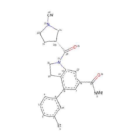 CCc1cccc(-c2cc(C(=O)NC)cc3c2CCN3C(=O)[C@@H]2CCN(C#N)C2)c1